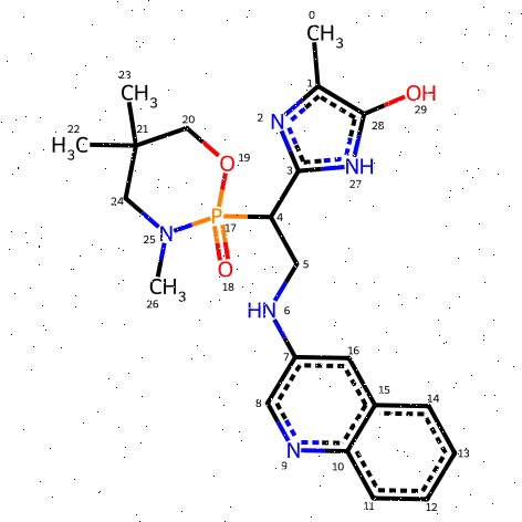 Cc1nc(C(CNc2cnc3ccccc3c2)P2(=O)OCC(C)(C)CN2C)[nH]c1O